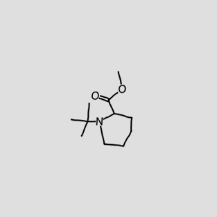 COC(=O)C1CCCCN1C(C)(C)C